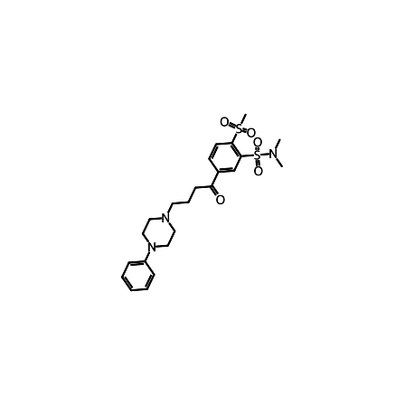 CN(C)S(=O)(=O)c1cc(C(=O)CCCN2CCN(c3ccccc3)CC2)ccc1S(C)(=O)=O